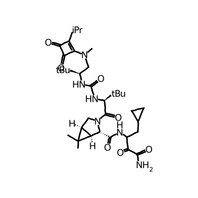 CC(C)c1c(N(C)C[C@@H](NC(=O)N[C@H](C(=O)N2C[C@H]3[C@@H]([C@H]2C(=O)NC(CC2CC2)C(=O)C(N)=O)C3(C)C)C(C)(C)C)C(C)(C)C)c(=O)c1=O